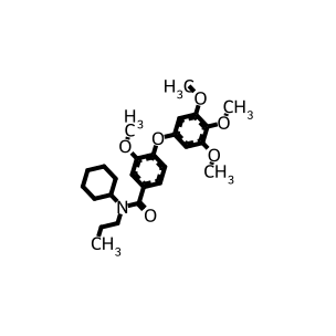 CCCN(C(=O)c1ccc(Oc2cc(OC)c(OC)c(OC)c2)c(OC)c1)C1CCCCC1